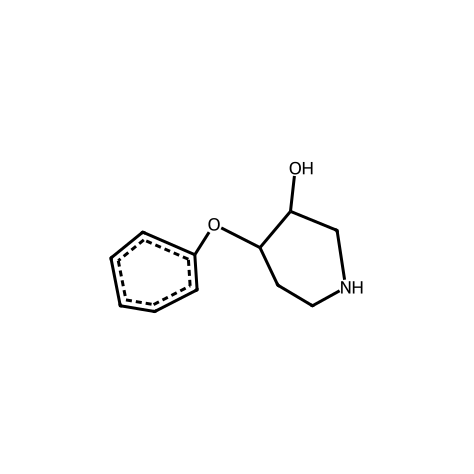 OC1CNCCC1Oc1ccccc1